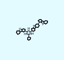 c1ccc(C2NC(c3ccc4c(c3)sc3cc(-c5cccc6c5sc5ccccc56)ccc34)NC(c3ccc4oc5ccccc5c4c3)N2)cc1